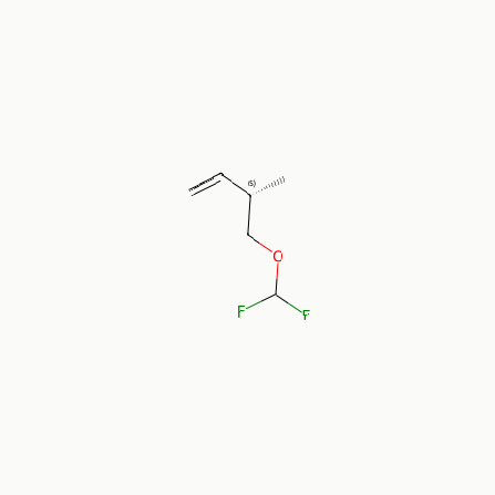 C=C[C@H](C)COC(F)F